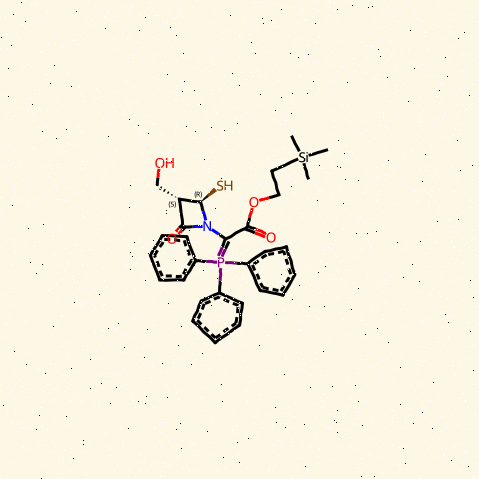 C[Si](C)(C)CCOC(=O)C(N1C(=O)[C@H](CO)[C@H]1S)=P(c1ccccc1)(c1ccccc1)c1ccccc1